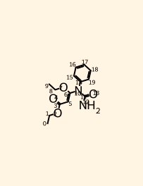 CCOC(=O)C=C(OCC)N(C(N)=O)c1ccccc1